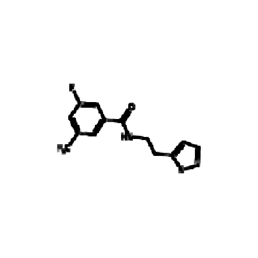 O=C(NCCc1cccs1)c1cc(F)cc(C(F)(F)F)c1